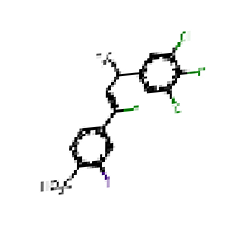 O=C(O)c1ccc(/C(F)=C/C(c2cc(Cl)c(Cl)c(Cl)c2)C(F)(F)F)cc1I